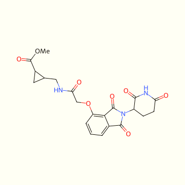 COC(=O)C1CC1CNC(=O)COc1cccc2c1C(=O)N(C1CCC(=O)NC1=O)C2=O